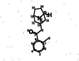 Cc1ccccc1C(=O)CC1CC2CC[C@H](C1)N2C